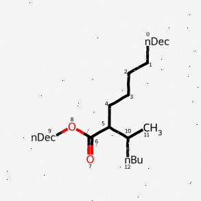 CCCCCCCCCCCCCCC(C(=O)OCCCCCCCCCC)C(C)CCCC